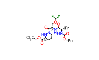 CC(C)[C@H](NC(=O)OC(C)(C)C)C(=O)N[C@@H](COC(F)F)C(=O)N1CCC[C@@H](C(=O)OCC(Cl)(Cl)Cl)N1